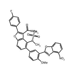 CNC(=O)c1c(-c2ccc(F)cc2)oc2ccc(-c3ccc(OC)c(-c4nc5c([N+](=O)[O-])cccc5o4)c3)c(N(C)S(C)(=O)=O)c12